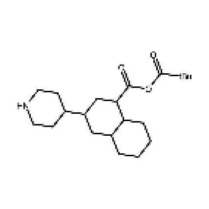 CC(C)(C)C(=O)OC(=O)C1CC(C2CCNCC2)CC2CCCCC21